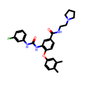 Cc1ccc(Oc2ccc(C(=O)NCCN3CCCC3)cc2NC(=O)Nc2cccc(F)c2)cc1C